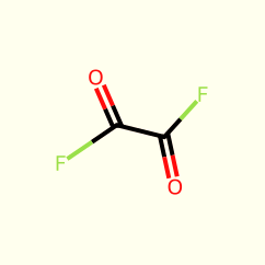 O=C(F)C(=O)F